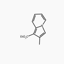 CCOC(=O)c1c(C)cn2ccccc12